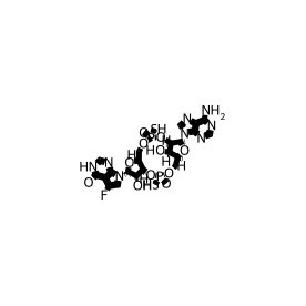 Nc1ncnc2c1ncn2[C@@H]1O[C@@H]2COP(=O)(S)O[C@H]3[C@@H](O)[C@H](n4cc(F)c5c(=O)[nH]cnc54)O[C@@H]3COP(=O)(S)O[C@@H]1[C@@H]2O